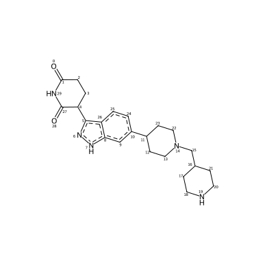 O=C1CCC(c2n[nH]c3cc(C4CCN(CC5CCNCC5)CC4)ccc23)C(=O)N1